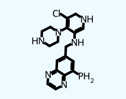 Pc1cc(CNC2=CNCC(Cl)=C2N2CCNCC2)cc2nccnc12